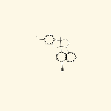 COc1ccc2c(n1)OC1(c3ccc(C#N)cc3)[C@H](c3ccccc3)CCC21O